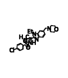 CCn1c([C@@H](C)NS(=O)(=O)c2ccc(Cl)cc2)nc2ccc(CN3CCOCC3)cc21